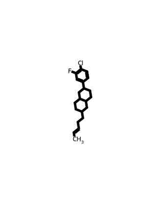 CC=CCCC1CCC2CC(c3ccc(Cl)c(F)c3)CCC2C1